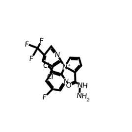 NNC(=O)C1=CC=C[N+]1(c1ncc(F)cc1Cl)c1ncc(C(F)(F)F)cc1Cl